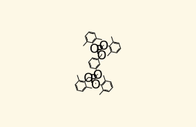 Cc1cccc(C)c1OP(Oc1cccc(OP(Oc2c(C)cccc2C)Oc2c(C)cccc2C)c1)Oc1c(C)cccc1C